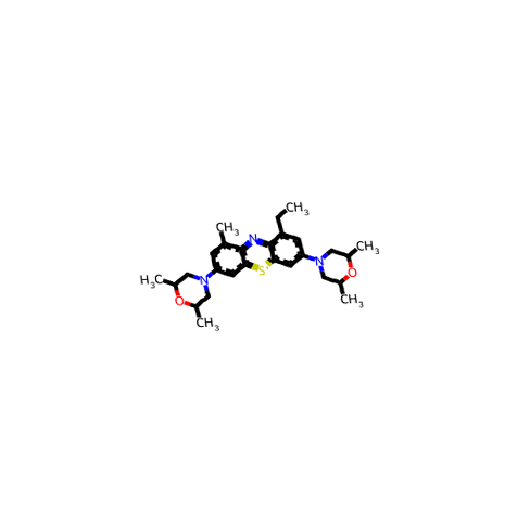 CCc1cc(N2CC(C)OC(C)C2)cc2[s+]c3cc(N4CC(C)OC(C)C4)cc(C)c3nc12